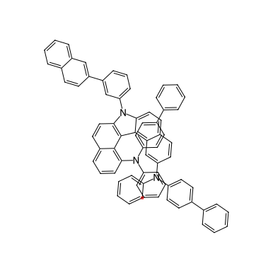 c1ccc(-c2ccc(N(c3ccccc3)c3ccc4ccc5c(c4c3)c3c4c(N(c6ccccc6)c6ccc(-c7ccccc7)cc6)cccc4ccc3n5-c3cccc(-c4ccc5ccccc5c4)c3)cc2)cc1